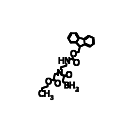 BCC(=O)N(CCNC(=O)OCC1c2ccccc2-c2ccccc21)CC(=O)OCCC